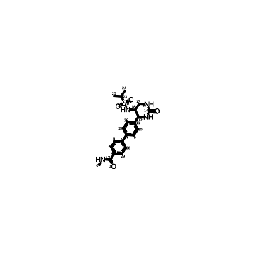 CNC(=O)c1ccc(-c2ccc(C3NC(=O)NCC3NS(=O)(=O)C(C)C)cc2)cc1